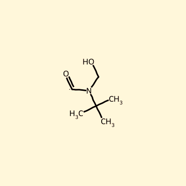 CC(C)(C)N([C]=O)CO